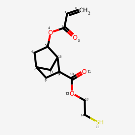 C=CC(=O)OC1CC2CC(C(=O)OCCS)C1C2